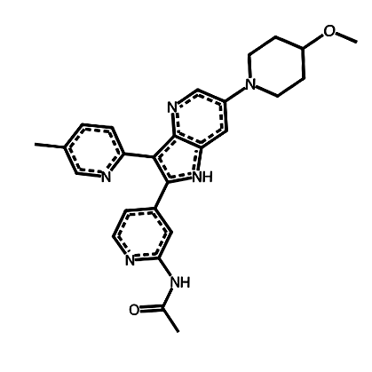 COC1CCN(c2cnc3c(-c4ccc(C)cn4)c(-c4ccnc(NC(C)=O)c4)[nH]c3c2)CC1